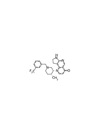 C[C@@H]1CCN(Cc2cccc(C(F)(F)F)c2)C[C@@H]1n1ccc(=O)c2cnc3c(c21)CCN3